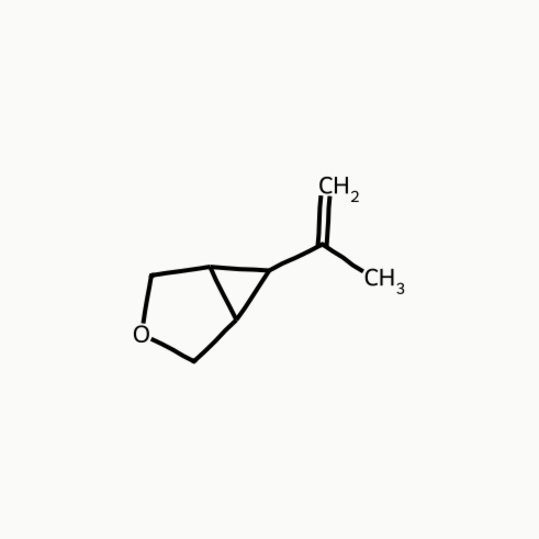 C=C(C)C1C2COCC21